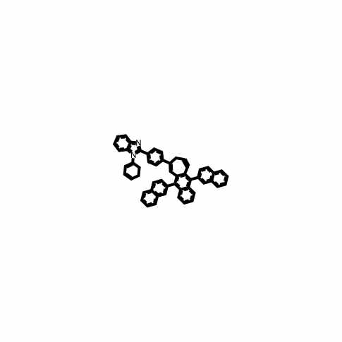 C1#Cc2c(c(-c3ccc4ccccc4c3)c3ccccc3c2-c2ccc3ccccc3c2)C=C(c2ccc(-c3nc4ccccc4n3C3=CC=CCC3)cc2)C1